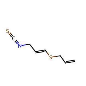 C=CCSC=CCN=C=S